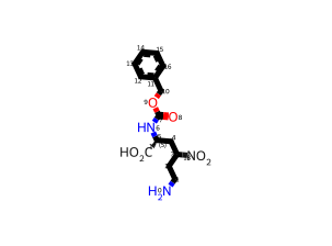 NCCC(C[C@H](NC(=O)OCc1ccccc1)C(=O)O)[N+](=O)[O-]